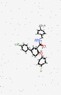 O=C(O)c1ccc(CNC(=O)c2cc(-c3ccc(Cl)cc3)ccc2Oc2ccc(F)cc2)cc1